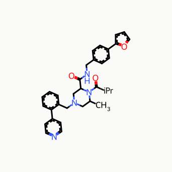 CC(C)C(=O)N1C(C)CN(Cc2ccccc2-c2ccncc2)CC1C(=O)NCc1ccc(-c2ccco2)cc1